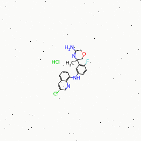 CC1(c2cc(Nc3cccc4cc(Cl)cnc34)ccc2F)COCC(N)=N1.Cl